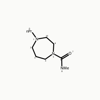 CCCN1CCCN(C(=O)NC)CC1